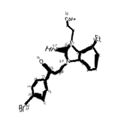 CCc1cccc2c1n(CCOC)c(=N)n2CC(=O)c1ccc(Br)cc1